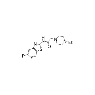 CCN1CCN(CC(=O)Nc2nc3cc(F)[c]cc3s2)CC1